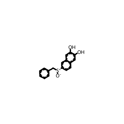 [O-][S+](Cc1ccccc1)c1ccc2cc(O)c(O)cc2c1